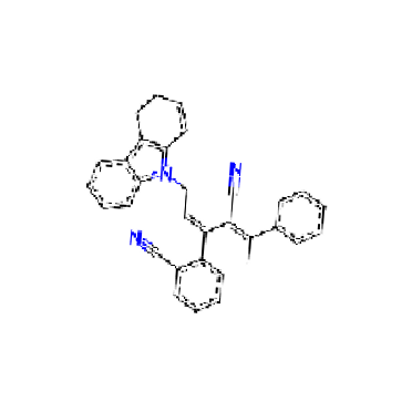 C/C(=C(C#N)\C(=C/Cn1c2c(c3ccccc31)CCC=C2)c1ccccc1C#N)c1ccccc1